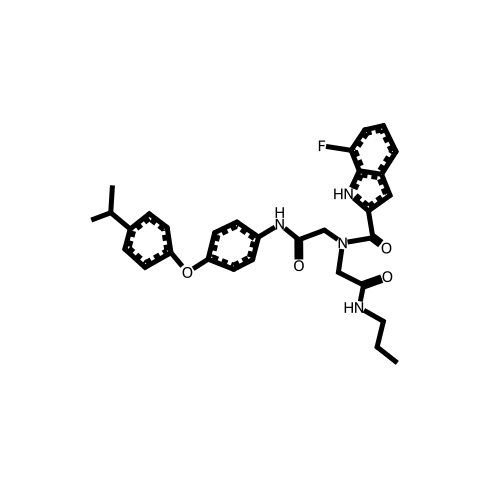 CCCNC(=O)CN(CC(=O)Nc1ccc(Oc2ccc(C(C)C)cc2)cc1)C(=O)c1cc2cccc(F)c2[nH]1